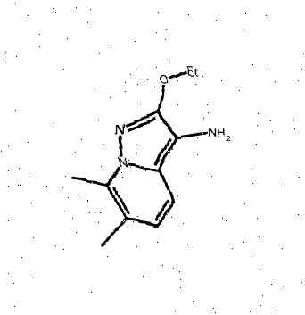 [CH2]COc1nn2c(C)c(C)ccc2c1N